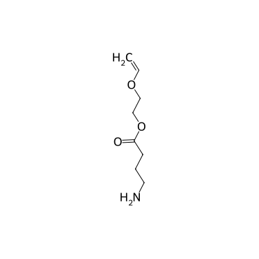 C=COCCOC(=O)CCCN